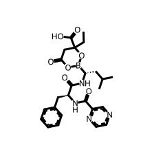 CCC1(C(=O)O)CC(=O)OB([C@H](CC(C)C)NC(=O)[C@H](Cc2ccccc2)NC(=O)c2cnccn2)O1